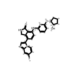 O=C1NCc2c(-c3cnc4cc(F)ccn34)ccc(Nc3cccc(O[C@@H]4CCC[C@@H]4O)n3)c21